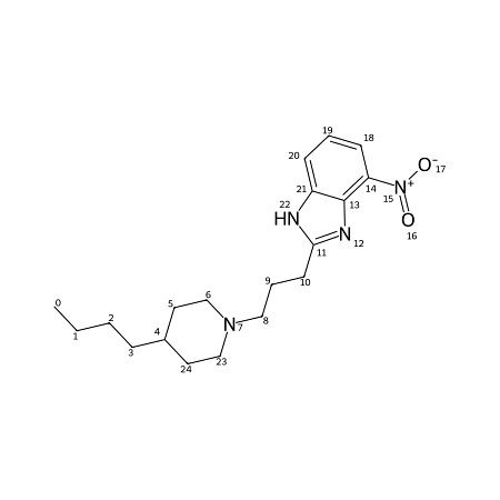 CCCCC1CCN(CCCc2nc3c([N+](=O)[O-])cccc3[nH]2)CC1